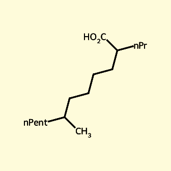 CCCCCC(C)CCCCC(CCC)C(=O)O